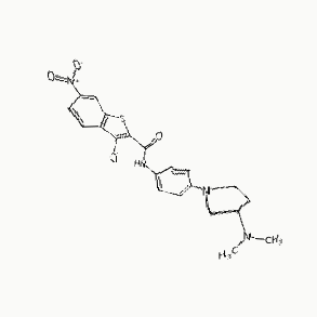 CN(C)C1CCN(c2ccc(NC(=O)c3sc4cc([N+](=O)[O-])ccc4c3Cl)cc2)C1